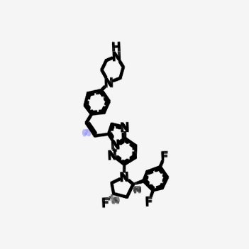 Fc1ccc(F)c([C@H]2C[C@H](F)CN2c2ccc3ncc(/C=C\c4ccc(N5CCNCC5)cc4)n3n2)c1